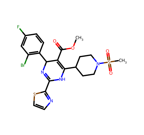 COC(=O)C1=C(C2CCN(S(C)(=O)=O)CC2)NC(c2nccs2)=NC1c1ccc(F)cc1Br